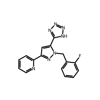 Fc1ccccc1Cn1nc(-c2ccccn2)cc1-c1nnn[nH]1